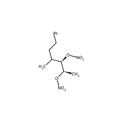 CC(C)CCC(C)[C@@H](O[N+](=O)[O-])[C@@H](C)O[N+](=O)[O-]